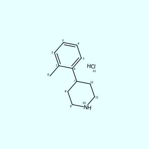 Cc1ccccc1C1CCNCC1.Cl